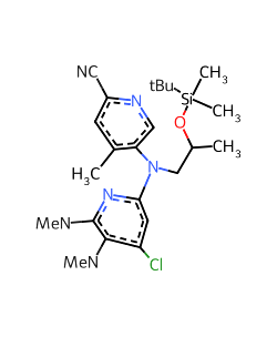 CNc1nc(N(CC(C)O[Si](C)(C)C(C)(C)C)c2cnc(C#N)cc2C)cc(Cl)c1NC